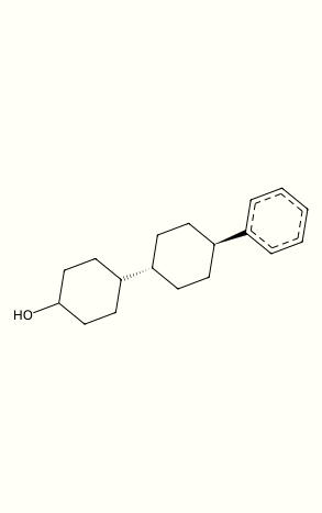 OC1CCC([C@H]2CC[C@H](c3ccccc3)CC2)CC1